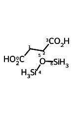 O=C(O)CCC(=O)O.[SiH3]O[SiH3]